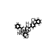 C[C@@H](C[C@H](NC(=O)c1ccc(-c2ccccc2Cl)nc1)C(=O)NC1(C#N)CCOCC1)c1ccccc1